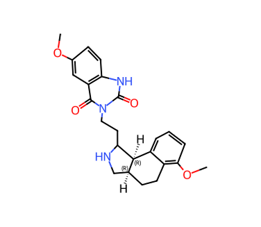 COc1ccc2[nH]c(=O)n(CCC3NC[C@@H]4CCc5c(OC)cccc5[C@H]34)c(=O)c2c1